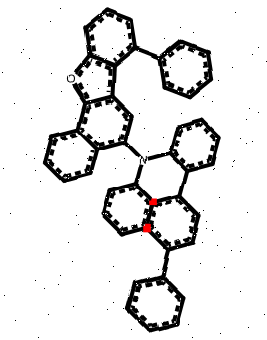 c1ccc(-c2ccc(-c3ccccc3N(c3ccccc3)c3cc4c(oc5cccc(-c6ccccc6)c54)c4ccccc34)cc2)cc1